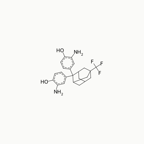 Nc1cc(C2(c3ccc(O)c(N)c3)C3CC4CC2CC(C(F)(F)F)(C4)C3)ccc1O